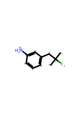 CC(C)(F)Cc1cccc(N)c1